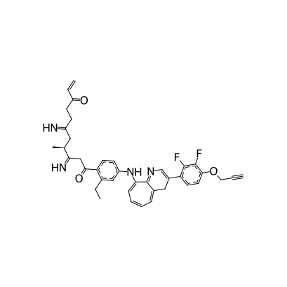 C#CCOc1ccc(C2=CN=C3C(=CC=CC=C3Nc3ccc(C(=O)CC(=N)[C@@H](C)CC(=N)CCC(=O)C=C)c(CC)c3)C2)c(F)c1F